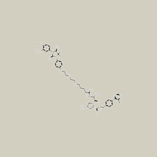 Cc1ncsc1-c1ccc(CNC(=O)[C@@H]2C[C@@H](O)CN2C(=O)C(NC(=O)CCCCOCCOCCOc2ccc(N3C(=S)N(c4ccc(C#N)c(C(F)(F)F)c4)C(=O)C3(C)C)cc2)C(C)(C)C)cc1